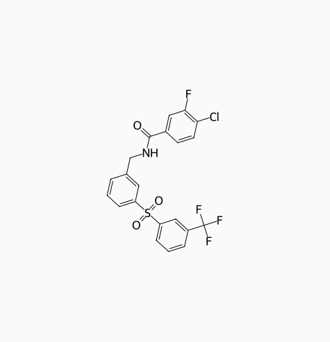 O=C(NCc1cccc(S(=O)(=O)c2cccc(C(F)(F)F)c2)c1)c1ccc(Cl)c(F)c1